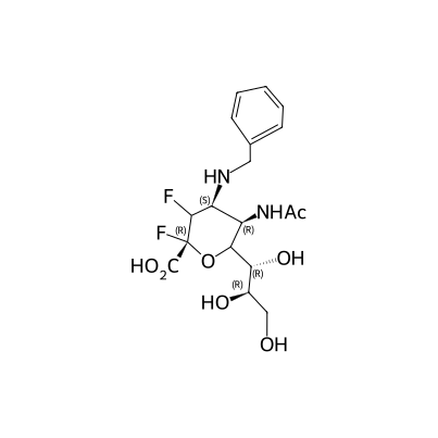 CC(=O)N[C@H]1C([C@H](O)[C@H](O)CO)O[C@@](F)(C(=O)O)C(F)[C@H]1NCc1ccccc1